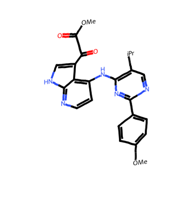 COC(=O)C(=O)c1c[nH]c2nccc(Nc3nc(-c4ccc(OC)cc4)ncc3C(C)C)c12